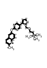 Cc1ccc2cc(Oc3ncc(-c4ccnn4COCC[Si](C)(C)C)cn3)ccc2n1